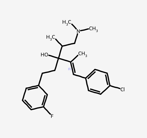 C/C(=C\c1ccc(Cl)cc1)C(O)(CCc1cccc(F)c1)C(C)CN(C)C